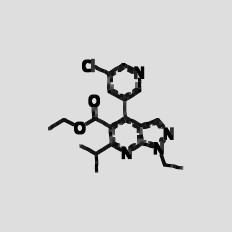 CCOC(=O)c1c(C(C)C)nc2c(cnn2CC)c1-c1cncc(Cl)c1